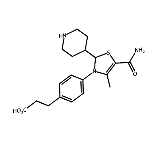 CC1=C(C(N)=O)SC(C2CCNCC2)N1c1ccc(CCC(=O)O)cc1